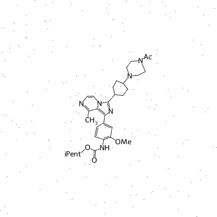 CCCC(C)OC(=O)Nc1ccc(-c2nc(C3CCC(N4CCN(C(C)=O)CC4)CC3)n3ccnc(C)c23)cc1OC